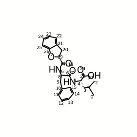 CC(C)C[C@H](NC(=O)C(Cc1ccccc1)NC(=O)[C@@H]1Cc2ccccc2O1)C(=O)O